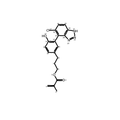 C=C(C)C(=O)OCCCc1ccc(O)c(-c2c(Cl)ccc3[nH]nnc23)c1